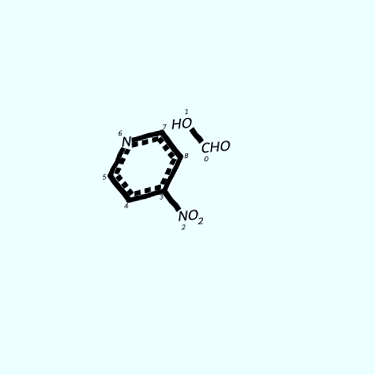 O=CO.O=[N+]([O-])c1ccncc1